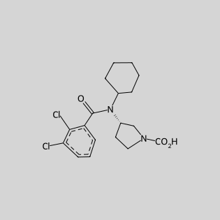 O=C(O)N1CC[C@H](N(C(=O)c2cccc(Cl)c2Cl)C2CCCCC2)C1